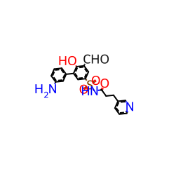 Nc1cccc(-c2cc(S(=O)(=O)NC(=O)CCc3cccnc3)cc(C=O)c2O)c1